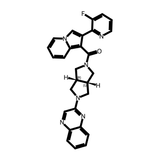 O=C(c1c(-c2ncccc2F)cn2ccccc12)N1C[C@@H]2CN(c3cnc4ccccc4n3)C[C@@H]2C1